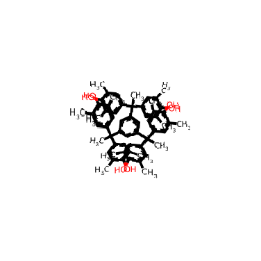 Cc1cc(C(C)(c2cc(C(C)(c3cc(C)c(O)c(C)c3)c3cc(C)c(O)c(C)c3)cc(C(C)(c3cc(C)c(O)c(C)c3)c3cc(C)c(O)c(C)c3)c2)c2cc(C)c(O)c(C)c2)cc(C)c1O